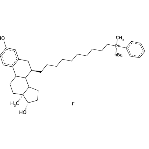 CCCC[P+](C)(CCCCCCCCCC[C@@H]1Cc2cc(O)ccc2C2CC[C@@]3(C)C(CC[C@@H]3O)C21)c1ccccc1.[I-]